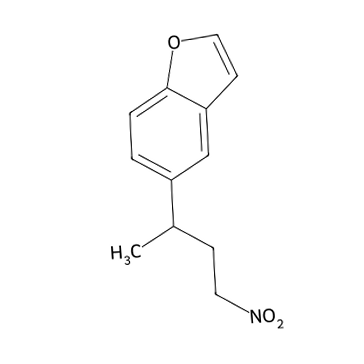 CC(CC[N+](=O)[O-])c1ccc2occc2c1